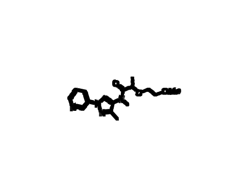 COCCOC(C)C(=O)N(C)c1cn(-c2cccnc2)nc1C